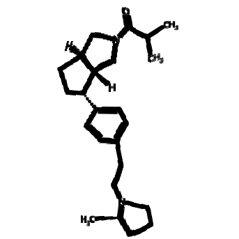 CC(C)C(=O)N1C[C@H]2CC[C@@H](c3ccc(CCN4CCC[C@H]4C)cc3)[C@H]2C1